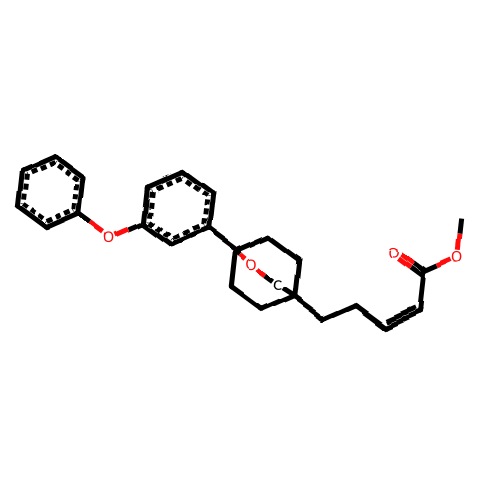 COC(=O)/C=C\CCC12CCC(c3cccc(Oc4ccccc4)c3)(CC1)OC2